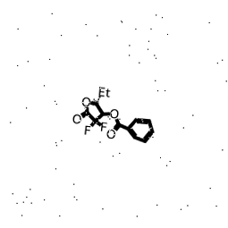 CC[C@H]1OC(=O)C(F)(F)C1OC(=O)c1ccccc1